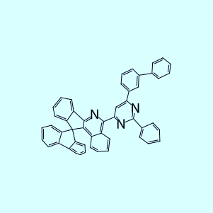 c1ccc(-c2cccc(-c3cc(-c4nc5c(c6ccccc46)C4(c6ccccc6-c6ccccc64)c4ccccc4-5)nc(-c4ccccc4)n3)c2)cc1